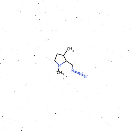 CC1CCN(C)C1CN=[N+]=[N-]